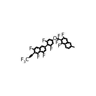 Cc1ccc2c(F)c(C(F)(F)Oc3cc(F)c(-c4cc(F)c5c(F)c(C#CC(F)(F)F)c(F)cc5c4)c(F)c3)c(F)cc2c1